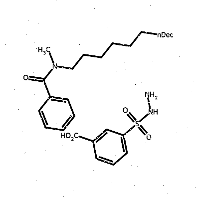 CCCCCCCCCCCCCCCCN(C)C(=O)c1ccccc1.NNS(=O)(=O)c1cccc(C(=O)O)c1